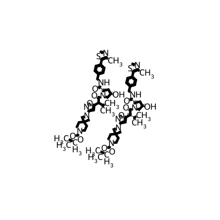 Cc1ncsc1-c1ccc(CNC(=O)[C@@H]2C[C@@H](O)CN2C(=O)C(c2cc(N3CC4(CCN(C(=O)OC(C)(C)C)CC4)C3)no2)C(C)C)cc1.Cc1ncsc1-c1ccc(CNC(=O)[C@@H]2C[C@@H](O)CN2C(=O)[C@@H](c2cc(N3CC4(CCN(C(=O)OC(C)(C)C)CC4)C3)no2)C(C)C)cc1